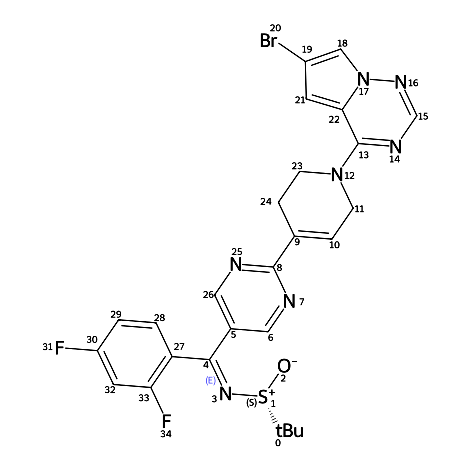 CC(C)(C)[S@@+]([O-])/N=C(\c1cnc(C2=CCN(c3ncnn4cc(Br)cc34)CC2)nc1)c1ccc(F)cc1F